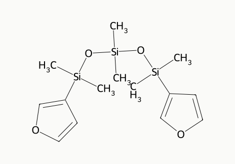 C[Si](C)(O[Si](C)(C)c1ccoc1)O[Si](C)(C)c1ccoc1